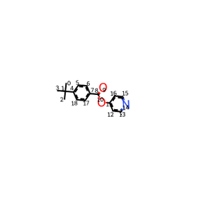 CC(C)(C)c1ccc(C(=O)Oc2c[c]ncc2)cc1